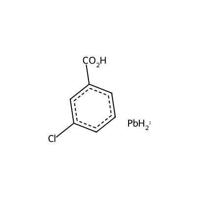 O=C(O)c1cccc(Cl)c1.[PbH2]